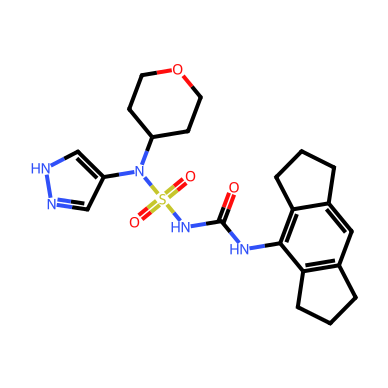 O=C(Nc1c2c(cc3c1CCC3)CCC2)NS(=O)(=O)N(c1cn[nH]c1)C1CCOCC1